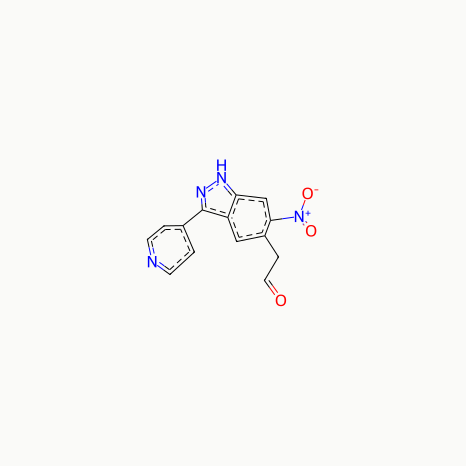 O=CCc1cc2c(-c3ccncc3)n[nH]c2cc1[N+](=O)[O-]